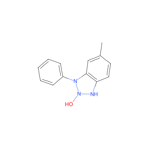 Cc1ccc2c(c1)N(c1ccccc1)N(O)N2